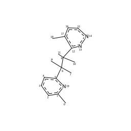 Cc1cccc(C(C)(C)C(C)(C)c2nnccc2C)n1